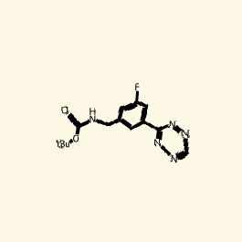 CC(C)(C)OC(=O)NCc1cc(F)cc(-c2nncnn2)c1